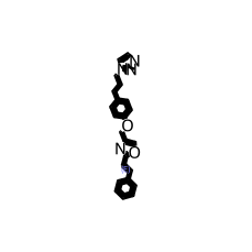 C(=C\c1nc(COc2ccc(CCCn3ccnn3)cc2)co1)/c1ccccc1